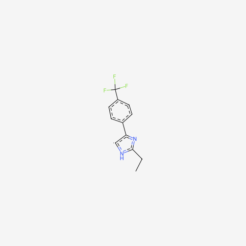 CCc1nc(-c2ccc(C(F)(F)F)cc2)[c][nH]1